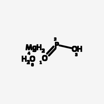 O.O=PO.[MgH2]